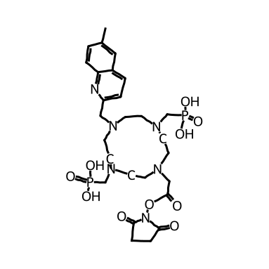 Cc1ccc2nc(CN3CCN(CP(=O)(O)O)CCN(CC(=O)ON4C(=O)CCC4=O)CCN(CP(=O)(O)O)CC3)ccc2c1